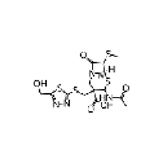 CSC1C(=O)N2CC(CSc3nnc(CO)s3)(C(=O)O)C(NC(C)=O)S[C@H]12